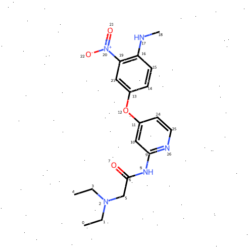 CCN(CC)CC(=O)Nc1cc(Oc2ccc(NC)c([N+](=O)[O-])c2)ccn1